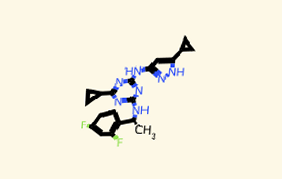 C[C@H](Nc1nc(Nc2cc(C3CC3)[nH]n2)nc(C2CC2)n1)c1ccc(F)cc1F